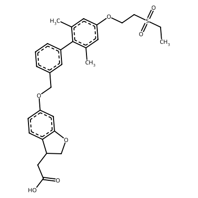 CCS(=O)(=O)CCOc1cc(C)c(-c2cccc(COc3ccc4c(c3)OCC4CC(=O)O)c2)c(C)c1